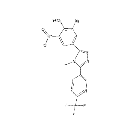 Cn1c(-c2ccc(C(F)(F)F)nc2)nnc1-c1cc(O)c(O)c([N+](=O)[O-])c1